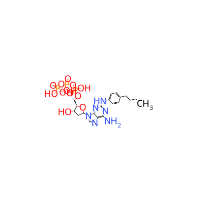 CCCCc1ccc(Nc2nc(N)c3ncn([C@H]4C[C@H](O)[C@@H](COP(=O)(O)OP(=O)(O)OP(=O)(O)O)O4)c3n2)cc1